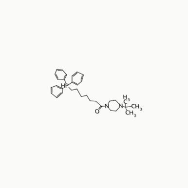 CC(C)(C)N1CCN(C(=O)CCCCCC[PH](c2ccccc2)(c2ccccc2)c2ccccc2)CC1